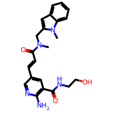 CN(Cc1cc2ccccc2n1C)C(=O)C=Cc1cnc(N)c(C(=O)NCCO)c1